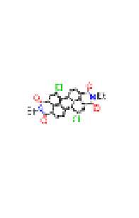 CCN1C(=O)c2ccc3c4c(Cl)cc5c6c(ccc(c7c(Cl)cc(c2c37)C1=O)c64)C(=O)N(CC)C5=O